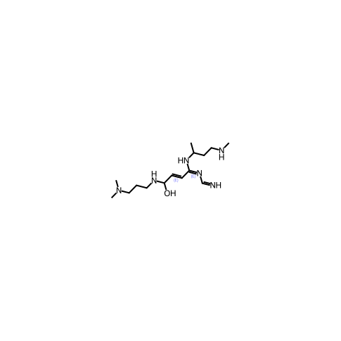 CNCCC(C)NC(/C=C/C(O)NCCCN(C)C)=N/C=N